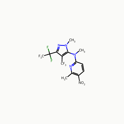 Cc1nc(N(C)c2c(C(F)(F)F)c(C(F)(F)C(F)(F)F)nn2C)ccc1[N+](=O)[O-]